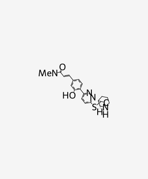 CNC(=O)/C=C/c1ccc(-c2ccc(S[C@@H]3CC4CCC3CN4)nn2)c(O)c1